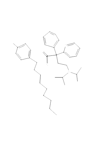 CC(C)N(CCC(C(N)=O)(c1ccccc1)c1ccccn1)C(C)C.CCCCCCCCCc1ccc(O)cc1